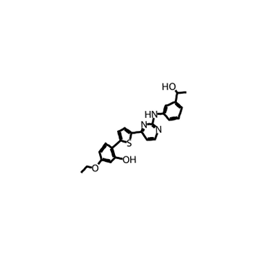 CCOc1ccc(-c2ccc(-c3ccnc(Nc4cccc(C(C)O)c4)n3)s2)c(O)c1